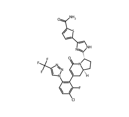 NC(=O)c1ccc(-c2c[nH]c([C@@H]3CC[C@H]4CC(c5c(-n6cc(C(F)(F)F)nn6)ccc(Cl)c5F)=CC(=O)N43)n2)s1